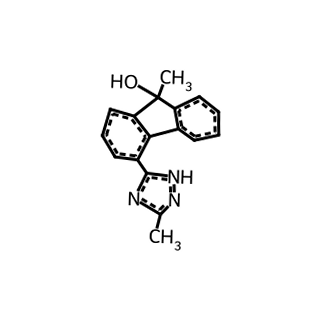 Cc1n[nH]c(-c2cccc3c2-c2ccccc2C3(C)O)n1